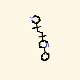 CC(C)(CCC(C)(C)c1ccc(-c2ccccc2)nc1)c1cccnc1